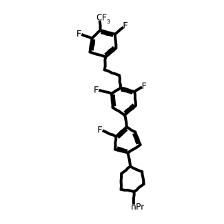 CCCC1CCC(c2ccc(-c3cc(F)c(CCc4cc(F)c(C(F)(F)F)c(F)c4)c(F)c3)c(F)c2)CC1